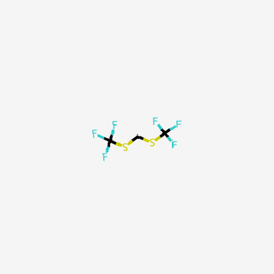 FC(F)(F)S[CH]SC(F)(F)F